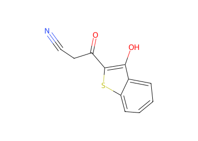 N#CCC(=O)c1sc2ccccc2c1O